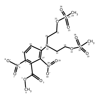 COC(=O)c1c([N+](=O)[O-])ccc(N(CCOS(C)(=O)=O)CCOS(C)(=O)=O)c1[N+](=O)[O-]